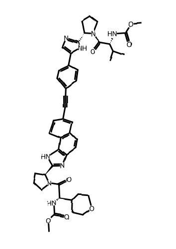 COC(=O)N[C@H](C(=O)N1CCC[C@H]1c1nc2ccc3cc(C#Cc4ccc(-c5cnc([C@@H]6CCCN6C(=O)[C@H](NC(=O)OC)C(C)C)[nH]5)cc4)ccc3c2[nH]1)C1CCOCC1